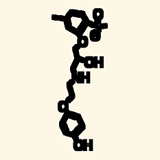 Cc1ccc(S(C)(=O)=O)c(OCC(O)CNCCOc2ccc(O)cc2)c1